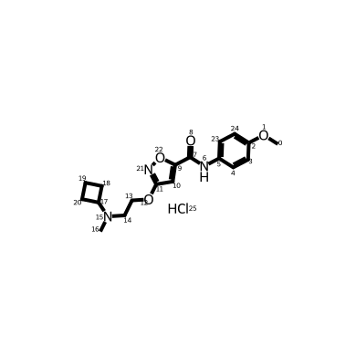 COc1ccc(NC(=O)c2cc(OCCN(C)C3CCC3)no2)cc1.Cl